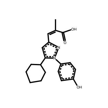 CC(=Cc1cc(C2CCCCC2)n(-c2ccc(O)cc2)n1)C(=O)O